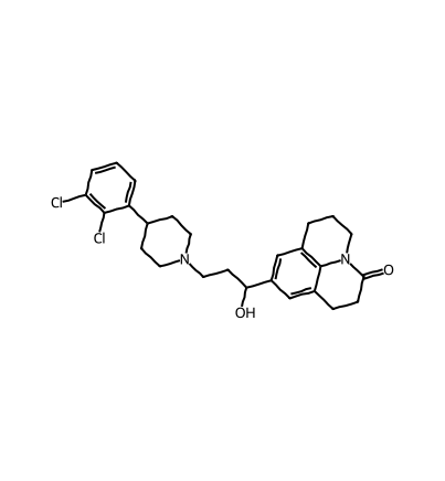 O=C1CCc2cc(C(O)CCN3CCC(c4cccc(Cl)c4Cl)CC3)cc3c2N1CCC3